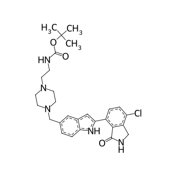 CC(C)(C)OC(=O)NCCN1CCN(Cc2ccc3[nH]c(-c4ccc(Cl)c5c4C(=O)NC5)cc3c2)CC1